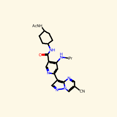 CC(=O)NC1CCC(NC(=O)c2cnc(-c3cnn4cc(C#N)cnc34)cc2NC(C)C)CC1